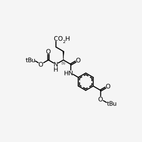 CC(C)(C)OC(=O)N[C@@H](CCC(=O)O)C(=O)Nc1ccc(C(=O)OC(C)(C)C)cc1